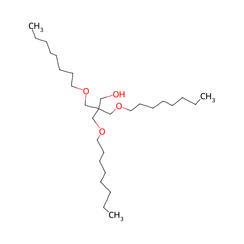 CCCCCCCCOCC(CO)(COCCCCCCCC)COCCCCCCCC